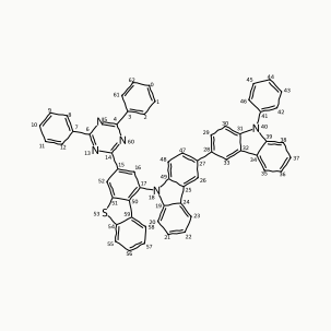 c1ccc(-c2nc(-c3ccccc3)nc(-c3cc(-n4c5ccccc5c5cc(-c6ccc7c(c6)c6ccccc6n7-c6ccccc6)ccc54)c4c(c3)sc3ccccc34)n2)cc1